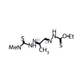 CCOC(=S)N/N=C/C(C)=N/NC(=S)NC